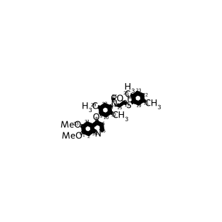 COc1cc2nccc(Oc3cc(C)c(N(CCSc4cc(C)ccc4C)C(=O)O)cc3C)c2cc1OC